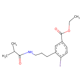 CCOC(=O)c1ccc(I)c(CCCNC(=O)C(C)C)c1